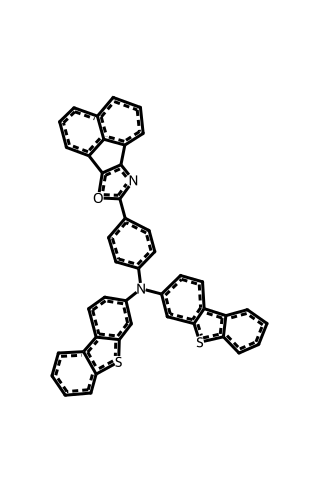 c1cc2c3c(cccc3c1)-c1oc(-c3ccc(N(c4ccc5c(c4)sc4ccccc45)c4ccc5c(c4)sc4ccccc45)cc3)nc1-2